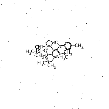 Cc1ccc([C@@H](O)c2c(C(C)C)nc3c(c2C2=CCCC2)C(O[Si](C)(C)C(C)(C)C)CC(C)(C)C3)cc1